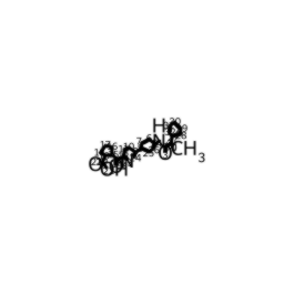 C[C@@H](C(=O)Nc1ccc(-c2ccc(C(=O)C3CCCC3C(=O)O)nc2)cc1)c1ccccc1